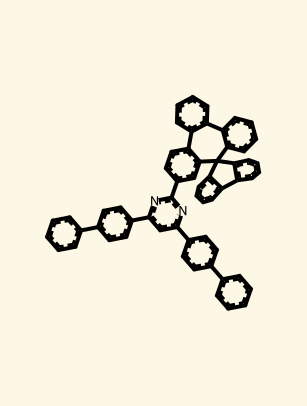 c1ccc(-c2ccc(-c3cc(-c4ccc(-c5ccccc5)cc4)nc(-c4ccc5c(c4)C4(c6ccccc6-c6ccccc6-5)c5ccccc5-c5ccccc54)n3)cc2)cc1